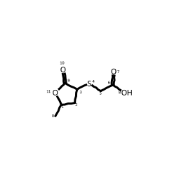 CC1CC(SCC(=O)O)C(=O)O1